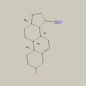 C[C@]12CCC(O)CC1=CC[C@@H]1[C@H]2CC[C@]2(C)C(O)CC(C#N)[C@@H]12